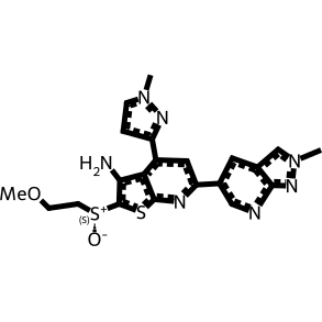 COCC[S@@+]([O-])c1sc2nc(-c3cnc4nn(C)cc4c3)cc(-c3ccn(C)n3)c2c1N